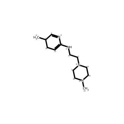 CC1C=NC(NCCN2CCN(C)CC2)=CC1